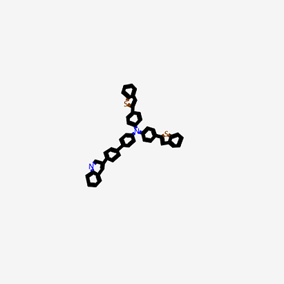 c1ccc2ncc(-c3ccc(-c4ccc(N(c5ccc(-c6cc7ccccc7s6)cc5)c5ccc(-c6cc7ccccc7s6)cc5)cc4)cc3)cc2c1